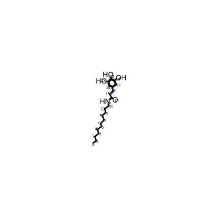 CCCCCCCCCCCCNC(=O)/C=C/c1cc(O)c(O)c(O)c1